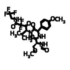 COC[C@H](NC=O)C(=O)NC(C(=O)N[C@H](C(=O)C(F)(F)C(=O)NCC(F)(F)F)C(C)C)c1ccc(OC)cc1